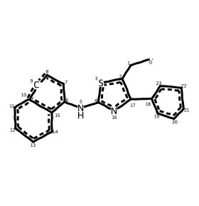 [CH2]Cc1sc(Nc2cccc3ccccc23)nc1-c1ccccc1